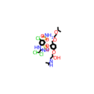 CC(C)NCC(O)COc1ccc(COCCOC(C)C)cc1.NS(=O)(=O)c1cc2c(cc1Cl)NC(C(Cl)Cl)NS2(=O)=O